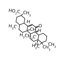 C[C@H]1CC[C@]2(C)[C@H]3C(=O)C=C4[C@@H]5C[C@@](C)(C(=O)O)CC[C@]5(C)CC[C@@]4(C)[C@]3(C)CC[C@H]2C1(C)C